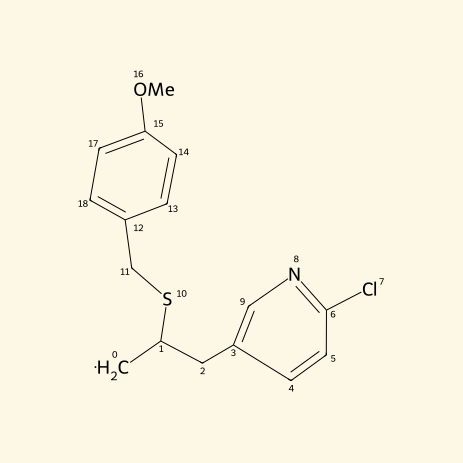 [CH2]C(Cc1ccc(Cl)nc1)SCc1ccc(OC)cc1